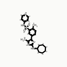 Cc1ccc(-c2sc(NC3CCCCCC3)nc2C)cc1S(=O)(=O)Nc1ccncc1